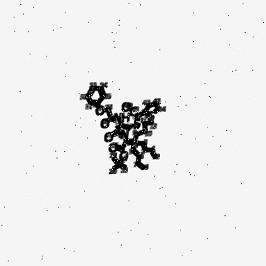 CCCCP(CCCC)(CCCC)=C(C(=O)OC(C)(C)C)N1C(=O)[C@@H](NC(=O)COc2ccccc2)[C@H]1SC(=C=O)C1CCCS1